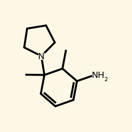 CC1C(N)=CC=CC1(C)N1CCCC1